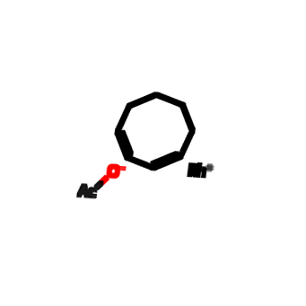 C1=C\CCCC\C=C/1.CC(=O)[O-].[Rh+]